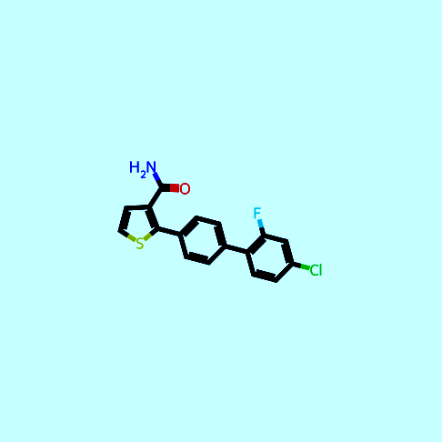 NC(=O)c1ccsc1-c1ccc(-c2ccc(Cl)cc2F)cc1